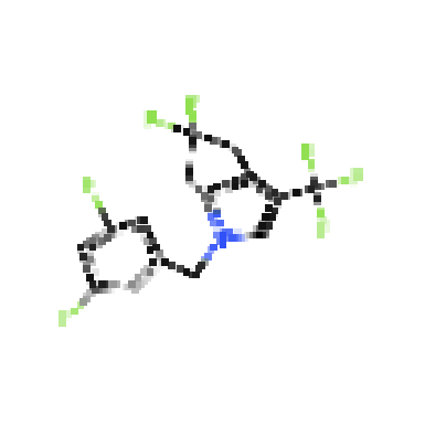 Fc1cc(F)cc(Cn2cc(C(F)(F)F)c3c2CC(F)(F)C3)c1